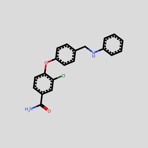 NC(=O)c1ccc(Oc2ccc(CNc3ccccc3)cc2)c(Cl)c1